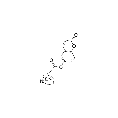 O=C(Oc1ccc2oc(=O)ccc2c1)N1CCN2CCC1CC2